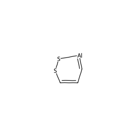 C1=CS[S][Al]=[CH]1